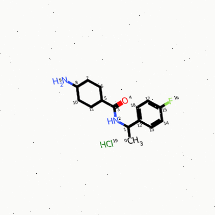 CC(NC(=O)C1CCC(N)CC1)c1ccc(F)cc1.Cl